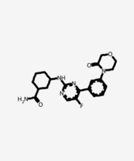 NC(=O)C1CCCC(Nc2ncc(F)c(-c3cccc(N4CCOCC4=O)c3)n2)C1